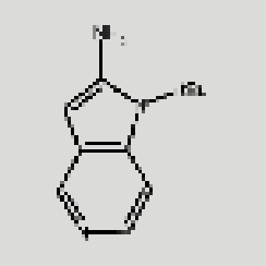 CC(C)(C)n1c(N)cc2cnccc21